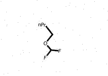 [CH2]CCCOC(F)F